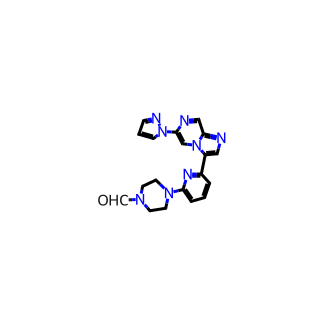 O=CN1CCN(c2cccc(-c3cnc4cnc(-n5cccn5)cn34)n2)CC1